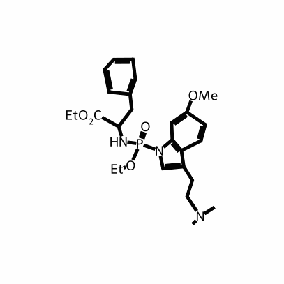 CCOC(=O)C(Cc1ccccc1)NP(=O)(OCC)n1cc(CCN(C)C)c2ccc(OC)cc21